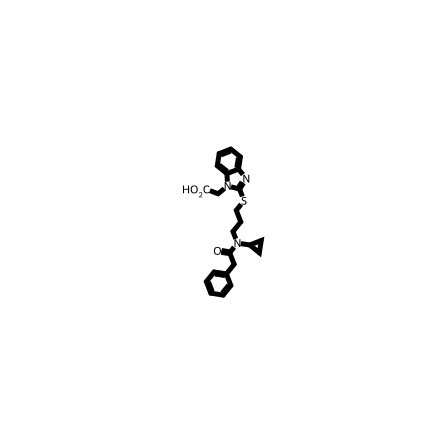 O=C(O)Cn1c(SCCCN(C(=O)Cc2ccccc2)C2CC2)nc2ccccc21